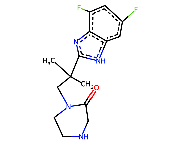 CC(C)(CN1CCNCC1=O)c1nc2c(F)cc(F)cc2[nH]1